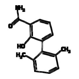 Cc1cccc(C)c1-c1cccc(C(N)=O)c1O